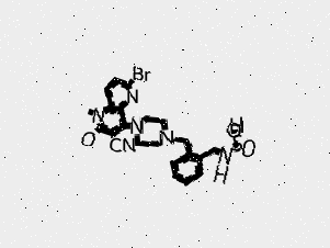 Cn1c(=O)c(C#N)c(N2CCN(Cc3ccccc3CN[SH](=O)=O)CC2)c2nc(Br)ccc21